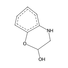 OC1CNc2ccccc2O1